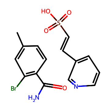 Cc1ccc(C(N)=O)c(Br)c1.O=S(=O)(O)/C=C/c1cccnc1